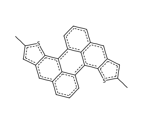 Cc1cc2cc3cccc4c3c(c3cccc5cc6cc(C)sc6c4c53)c2s1